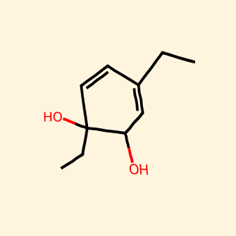 CCC1=CC(O)C(O)(CC)C=C1